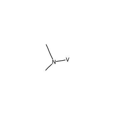 C[N](C)[V]